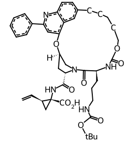 C=C[C@@H]1C[C@]1(NC(=O)[C@@H]1C[C@@H]2CN1C(=O)[C@H](CCCNC(=O)OC(C)(C)C)NC(=O)OCCCCCc1ccc3nc(-c4ccccc4)cc(c3c1)O2)C(=O)O